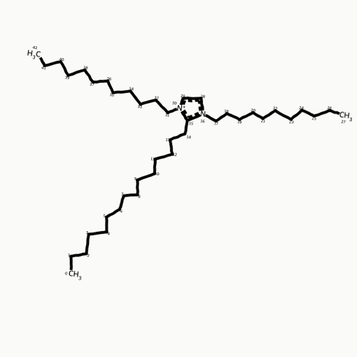 CCCCCCCCCCCCCCCc1n(CCCCCCCCCCC)cc[n+]1CCCCCCCCCCCC